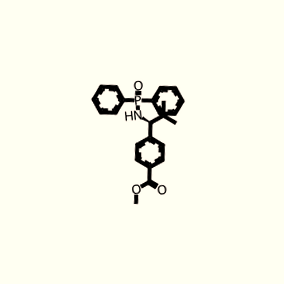 COC(=O)c1ccc([C@@H](NP(=O)(c2ccccc2)c2ccccc2)C(C)C)cc1